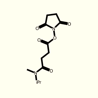 CC(C)N(C)C(=O)CCC(=O)ON1C(=O)CCC1=O